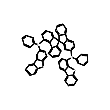 c1ccc(N(c2ccc3oc4ccccc4c3c2)c2cccc3c2-c2ccccc2C32c3ccccc3-c3ccc(N(c4ccccc4)c4cccc5c4sc4ccccc45)cc32)cc1